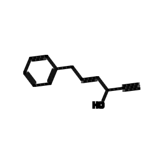 C#CC(O)C=CCc1ccccc1